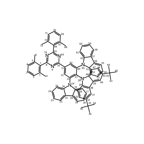 Cc1cccc(C)c1-c1nc(-c2cc(-n3c4ccccc4c4ccccc43)c(-n3c4ccc(C(C)(C)C)cc4c4cc(C(C)(C)C)ccc43)c(-n3c4ccccc4c4ccccc43)c2)nc(-c2c(C)cccc2C)n1